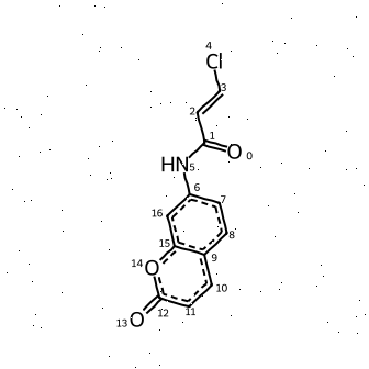 O=C(C=CCl)Nc1ccc2ccc(=O)oc2c1